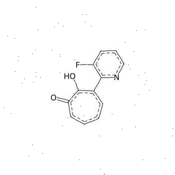 O=c1ccccc(-c2ncccc2F)c1O